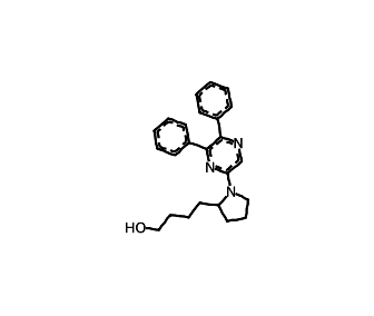 OCCCCC1CCCN1c1cnc(-c2ccccc2)c(-c2ccccc2)n1